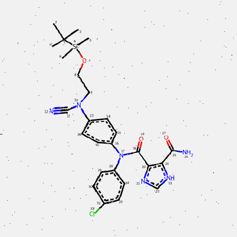 CC(C)(C)[Si](C)(C)OCCN(C#N)c1ccc(N(C(=O)c2nc[nH]c2C(N)=O)c2ccc(Cl)cc2)cc1